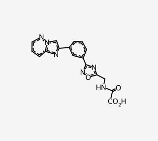 O=C(O)C(=O)NCc1nc(-c2cccc(-c3cn4ncccc4n3)c2)no1